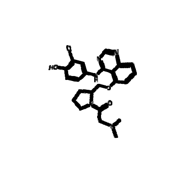 CN(C)CC(=O)N1CCCC1COc1cccc2ncnc(Nc3ccc(O)c(Cl)c3)c12